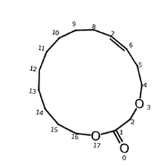 O=C1COCC/C=C\CCCCCCCCCO1